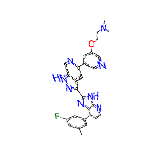 Cc1cc(F)cc(-c2ccnc3[nH]c(-c4n[nH]c5cnc(-c6cncc(OCCN(C)C)c6)cc45)nc23)c1